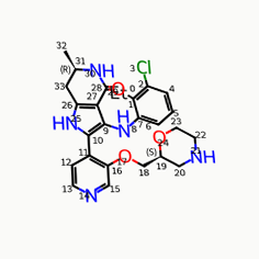 CCc1c(Cl)cccc1Nc1c(-c2ccncc2OC[C@@H]2CNCCO2)[nH]c2c1C(=O)N[C@H](C)C2